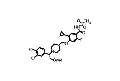 COC[C@H](c1ccc(Cl)c(Cl)c1)N1CCC(COc2cc(F)c(C(=O)NS(C)(=O)=O)cc2C2CC2)CC1